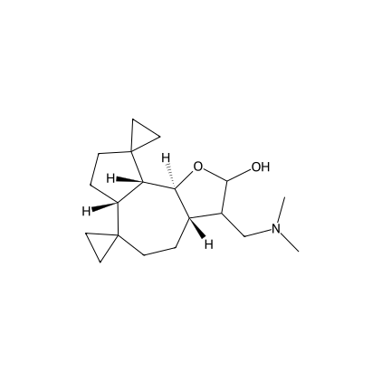 CN(C)CC1C(O)O[C@@H]2[C@@H]3[C@@H](CCC34CC4)C3(CC[C@@H]12)CC3